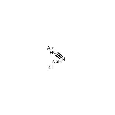 C#N.[Au].[KH].[NaH]